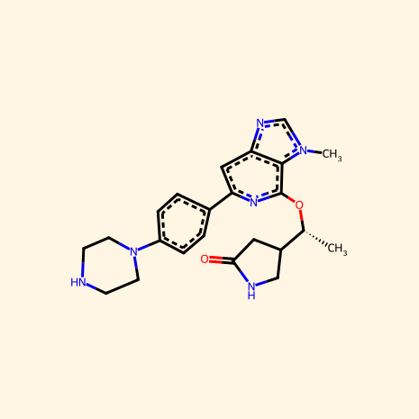 C[C@@H](Oc1nc(-c2ccc(N3CCNCC3)cc2)cc2ncn(C)c12)C1CNC(=O)C1